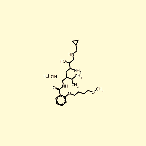 COCCCCOc1ccccc1C(=O)NCC(CC(N)C(O)CNCC1CC1)C(C)C.Cl.Cl